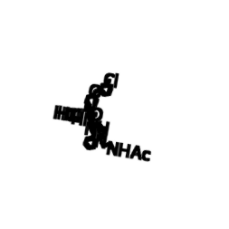 CC(=O)NCCNc1ccccc1-c1nccc(NC(=O)CN2CCC(Oc3cccc(Cl)c3)CC2)n1.Cl.Cl